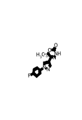 C[C@@H]1OC(=O)NN=C1c1cnn(-c2ccc(F)cc2)c1